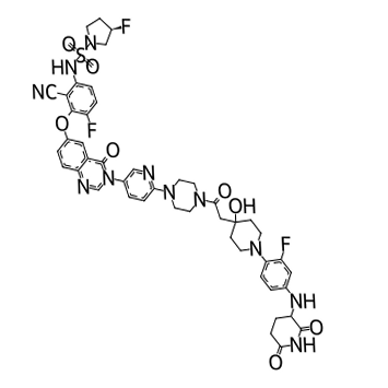 N#Cc1c(NS(=O)(=O)N2CC[C@@H](F)C2)ccc(F)c1Oc1ccc2ncn(-c3ccc(N4CCN(C(=O)CC5(O)CCN(c6ccc(NC7CCC(=O)NC7=O)cc6F)CC5)CC4)nc3)c(=O)c2c1